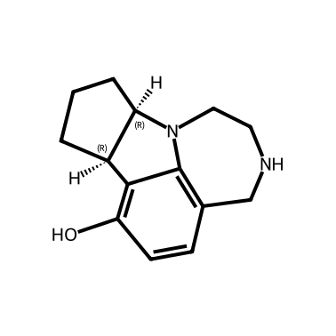 Oc1ccc2c3c1[C@H]1CCC[C@H]1N3CCNC2